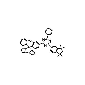 CC1(C)CC(C)(C)c2cc(-c3nc(-c4ccccc4)nc(-c4ccc5c(c4)Sc4ccccc4C54c5ccccc5-c5ccccc54)n3)ccc21